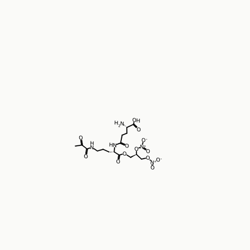 CC(=O)C(=O)NCCC[C@H](NC(=O)CC[C@H](N)C(=O)O)C(=O)OC[C@H](CO[N+](=O)[O-])O[N+](=O)[O-]